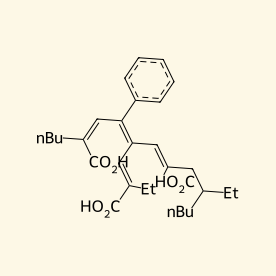 CCCCC(=CC(=C(C=C(CC)C(=O)O)C=C(CC(CC)CCCC)C(=O)O)c1ccccc1)C(=O)O